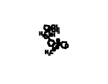 COc1ccc(C(=O)NC2C3(C)CCC(C3)C2(C)C)cc1S(=O)(=O)N1CCOCC1